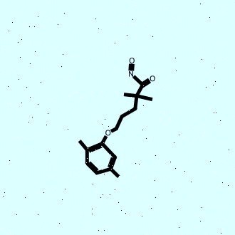 Cc1ccc(C)c(OCCCC(C)(C)C(=O)N=O)c1